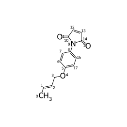 CC=CCOc1ccc(N2C(=O)C=CC2=O)cc1